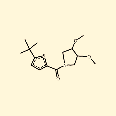 COC1CN(C(=O)c2ccc(C(C)(C)C)s2)CC1OC